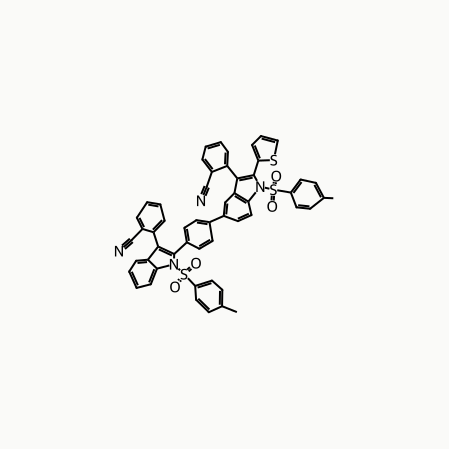 Cc1ccc(S(=O)(=O)n2c(-c3ccc(-c4ccc5c(c4)c(-c4ccccc4C#N)c(-c4cccs4)n5S(=O)(=O)c4ccc(C)cc4)cc3)c(-c3ccccc3C#N)c3ccccc32)cc1